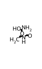 C=CNC=O.NC(=O)O